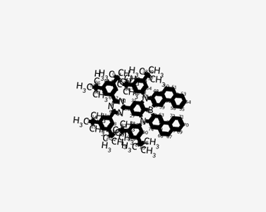 CC(C)(C)c1cc(-c2nc(-c3cc(C(C)(C)C)cc(C(C)(C)C)c3)nc(-c3cc4c5c(c3)N(c3cc(C(C)(C)C)cc(C(C)(C)C)c3)c3cc6ccc7ccccc7c6cc3B5c3cc5c(ccc6ccccc65)cc3N4c3cc(C(C)(C)C)cc(C(C)(C)C)c3)n2)cc(C(C)(C)C)c1